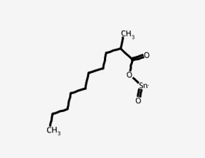 CCCCCCCCC(C)C(=O)[O][Sn]=[O]